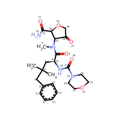 CN(C(=O)[C@H](CC(C)(C)Cc1ccccc1)NC(=O)N1CCOCC1)C1C(=O)COC1C(N)=O